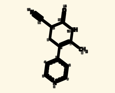 CC1=C(c2ccncc2)CC(C#N)C(=O)N1